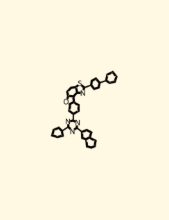 c1ccc(-c2ccc(-c3nc4c(ccc5oc6cc(-c7nc(-c8ccccc8)nc(-c8ccc9ccccc9c8)n7)ccc6c54)s3)cc2)cc1